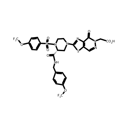 O=C(O)Cn1ncc2sc(N3CCN(S(=O)(=O)c4ccc(OC(F)(F)F)cc4)[C@@H](C(=O)NCc4ccc(OC(F)(F)F)cc4)C3)nc2c1=O